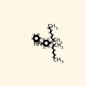 CCCCCCC(C)N(c1ccc(Nc2ccccc2)cc1)C(C)CCCCCC